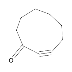 O=C1C#CCCCCCC1